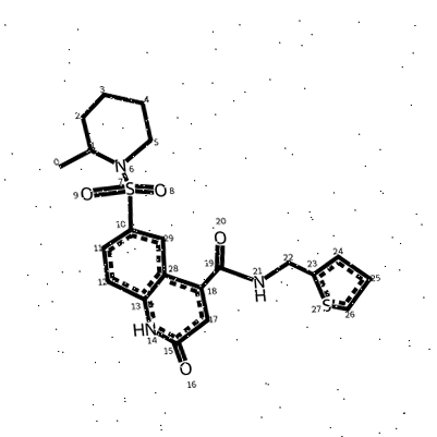 CC1CCCCN1S(=O)(=O)c1ccc2[nH]c(=O)cc(C(=O)NCc3cccs3)c2c1